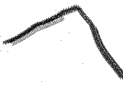 N.N.N.N.N.N.N.N.N.N.N.N.N.N.N.N.N.N.N.N.N.N.N.N.N.N.N.N.N.N.N.N.N.N.N.N.N.N.N.N.N.N.N.N.N.N.N.N.N.N.N.N.N.N.N.N.N.N.N.N.N.N.N.N.N.N.N.N.N.[He].[He].[He].[He].[He].[He].[He].[He].[He].[He].[He].[He].[He].[He].[He].[He].[He].[He].[He].[He].[He].[He].[He].[He].[He].[He].[He].[He].[He].[He].[N]